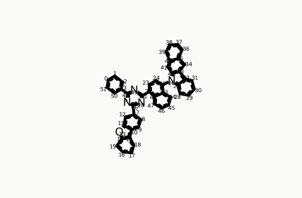 c1ccc(-c2nc(-c3ccc4c(c3)oc3ccccc34)nc(-c3ccc(-n4c5ccccc5c5cc6ccccc6cc54)c4ccccc34)n2)cc1